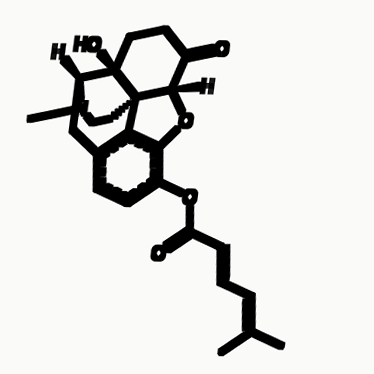 CC(C)=C/C=C/C(=O)Oc1ccc2c3c1O[C@H]1C(=O)CC[C@@]4(O)[C@@H](C2)N(C)CC[C@@]314